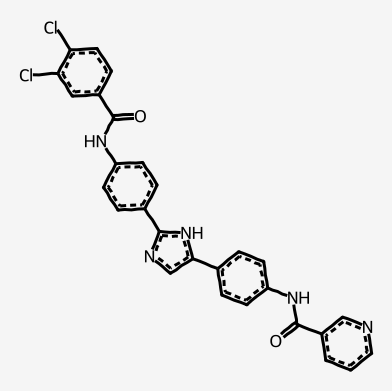 O=C(Nc1ccc(-c2cnc(-c3ccc(NC(=O)c4ccc(Cl)c(Cl)c4)cc3)[nH]2)cc1)c1cccnc1